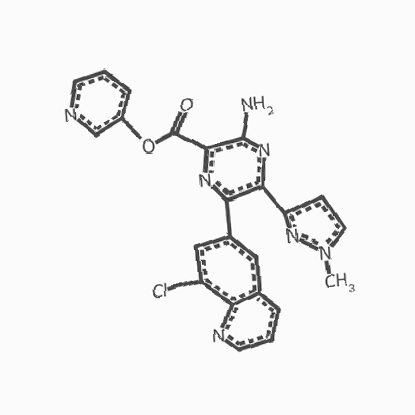 Cn1ccc(-c2nc(N)c(C(=O)Oc3cccnc3)nc2-c2cc(Cl)c3ncccc3c2)n1